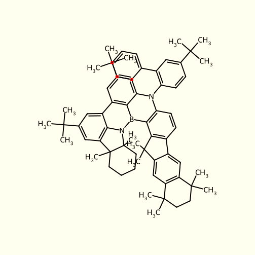 CC(C)(C)c1ccc(N2c3cc(C(C)(C)C)cc4c3B(c3c2ccc2c3C(C)(C)c3cc5c(cc3-2)C(C)(C)CCC5(C)C)N2c3c-4cc(C(C)(C)C)cc3C3(C)CCCCC23C)c(-c2ccccc2)c1